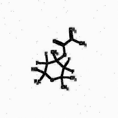 C=C(C)C(=O)OC1(C)C(F)(F)C(C)(C(F)(F)F)OC(O)(C(F)(F)F)C1(F)F